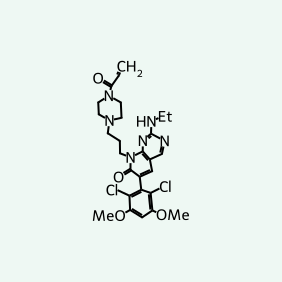 C=CC(=O)N1CCN(CCCn2c(=O)c(-c3c(Cl)c(OC)cc(OC)c3Cl)cc3cnc(NCC)nc32)CC1